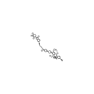 CCc1cc2c(cc1N1CCC(N3CCN(C(=O)CCCCC#Cc4ccc5c(c4)CN(C4CCC(=O)NC4=O)C5=O)CC3)CC1)C(C)(C)c1[nH]c3cc(C#N)ccc3c1C2=O